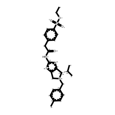 CCOS(=O)(=O)c1ccc(CC(=O)Nc2nc3c(s2)CN(Cc2ccc(C)cc2)[C@H]3C(C)C)cc1